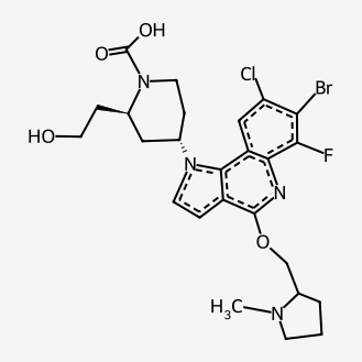 CN1CCCC1COc1nc2c(F)c(Br)c(Cl)cc2c2c1ccn2[C@H]1CCN(C(=O)O)[C@H](CCO)C1